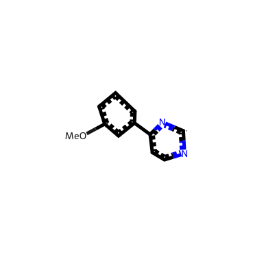 COc1cccc(-c2ccn[c]n2)c1